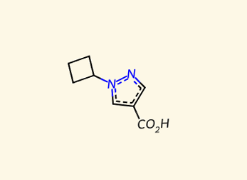 O=C(O)c1cnn(C2CCC2)c1